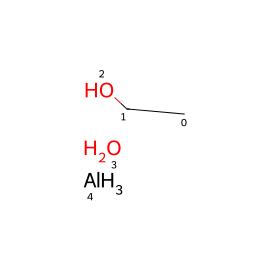 CCO.O.[AlH3]